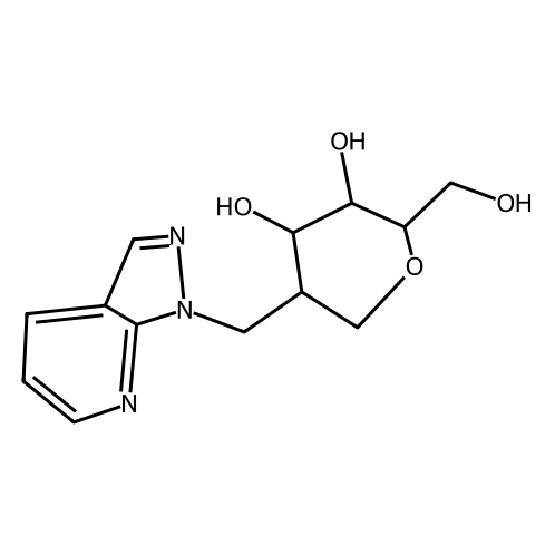 OCC1OCC(Cn2ncc3cccnc32)C(O)C1O